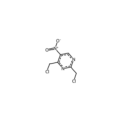 O=[N+]([O-])c1cnc(CCl)nc1CCl